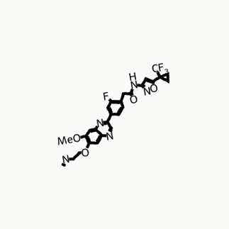 C=NCCOc1cc2ncc(-c3ccc(CC(=O)Nc4cc(C5(C(F)(F)F)CC5)on4)c(F)c3)nc2cc1OC